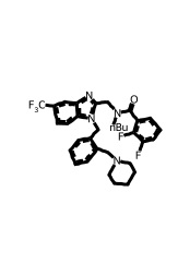 CCCCN(Cc1nc2cc(C(F)(F)F)ccc2n1Cc1ccccc1CN1CCCCC1)C(=O)c1cccc(F)c1F